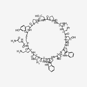 CCCC[C@H]1C(=O)N(C)[C@@H](CCCC)C(=O)N[C@@H](CCCN)C(=O)N[C@H](C(=O)NCC(N)=O)CSCC(=O)N[C@@H](Cc2ccc(O)cc2)C(=O)N2CCC[C@H]2C(=O)N[C@@H](CC(=O)O)C(=O)N2CCC[C@H]2C(=O)N[C@@H](CN)C(=O)N[C@@H](CC(C)C)C(=O)N2C[C@@H](O)C[C@H]2C(=O)N[C@@H](Cc2c[nH]c3ccccc23)C(=O)N[C@@H](CO)C(=O)N[C@@H](Cc2c[nH]c3ccccc23)C(=O)N1C